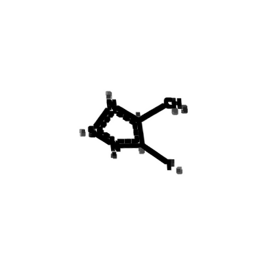 Cc1nsnc1F